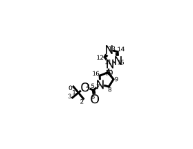 CC(C)(C)OC(=O)N1CC[C@H](n2cncn2)C1